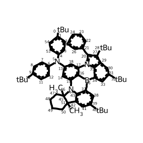 CC(C)(C)c1ccc(N(c2ccc(C(C)(C)C)cc2)c2cc3c4c(c2)-n2c(-c5ccccc5)c(C(C)(C)C)c5cc(C(C)(C)C)cc(c52)B4c2cc(C(C)(C)C)cc4c2N3C2(C)CCCCC42C)cc1